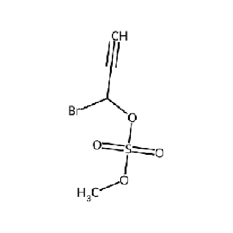 C#CC(Br)OS(=O)(=O)OC